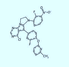 Cc1cccc(Oc2ccc(-c3c4n(c5ncnc(Cl)c35)CCN4c3cccc([N+](=O)[O-])c3F)cc2F)n1